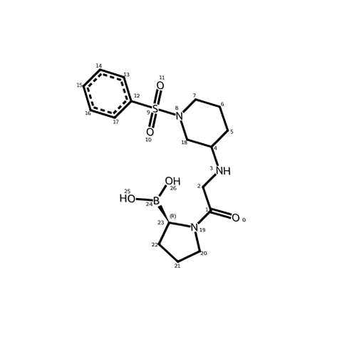 O=C(CNC1CCCN(S(=O)(=O)c2ccccc2)C1)N1CCC[C@H]1B(O)O